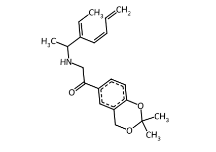 C=C/C=C\C(=C/C)C(C)NCC(=O)c1ccc2c(c1)COC(C)(C)O2